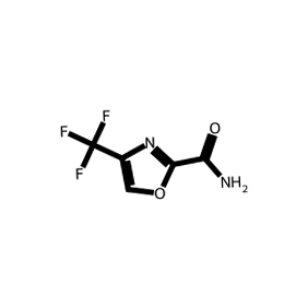 NC(=O)c1nc(C(F)(F)F)co1